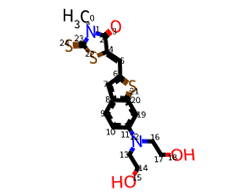 CN1C(=O)/C(=C/c2cc3ccc(N(CCO)CCO)cc3s2)SC1=S